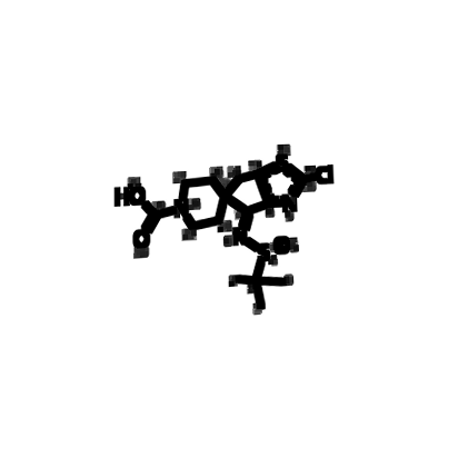 CC(C)(C)[S+]([O-])/N=C1\c2nc(Cl)sc2CC12CCN(C(=O)O)CC2